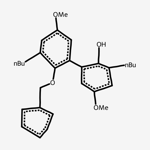 CCCCc1cc(OC)cc(-c2cc(OC)cc(CCCC)c2OCc2ccccc2)c1O